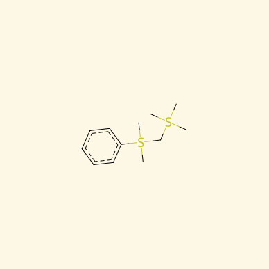 CS(C)(C)CS(C)(C)c1ccccc1